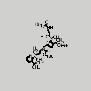 C=C(Cl)c1cccnc1N(C)C(C)CCN(Cc1ccc(C(=C)OC)c(N(C)C(C)CCNC(=O)OC(C)(C)C)n1)C(=O)OC(C)(C)C